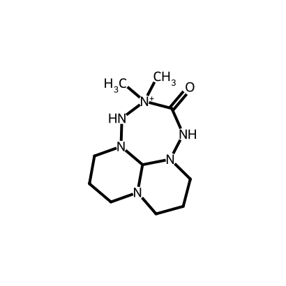 C[N+]1(C)NN2CCCN3CCCN(NC1=O)C32